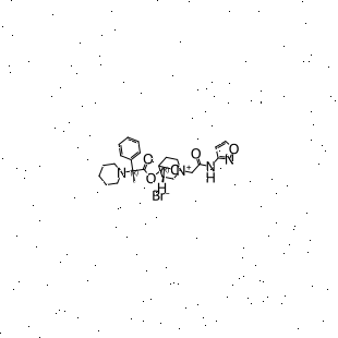 C[C@](C(=O)O[C@H]1C[N+]2(CC(=O)Nc3ccon3)CCC1CC2)(c1ccccc1)N1CCCCC1.[Br-]